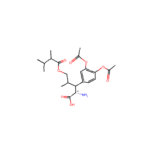 CC(=O)Oc1ccc(C(C(C)COC(=O)C(C)C(C)C)[C@H](N)C(=O)O)cc1OC(C)=O